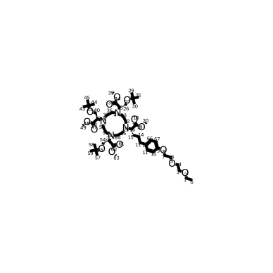 CCOCCOCCOc1ccc(CCC[C@@H](C(=O)OC)N2CCN([C@@H](COC(C)(C)C)C(=O)OC)CCN([C@H](COC(C)(C)C)C(=O)OC)CCN([C@@H](COC(C)(C)C)C(=O)OC)CC2)cc1